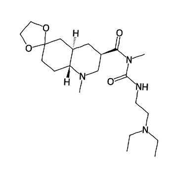 CCN(CC)CCNC(=O)N(C)C(=O)[C@@H]1C[C@@H]2CC3(CC[C@H]2N(C)C1)OCCO3